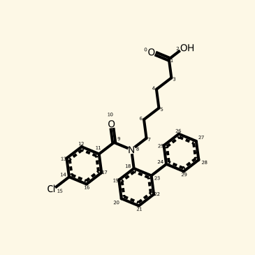 O=C(O)CCCCCN(C(=O)c1ccc(Cl)cc1)c1ccccc1-c1ccccc1